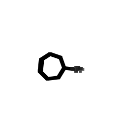 C[C](C)C1CCC=CCC1